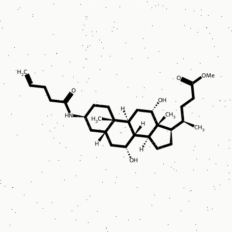 C=CCCC(=O)N[C@H]1CC[C@@]2(C)[C@@H](C1)C[C@@H](O)[C@@H]1[C@@H]2C[C@H](O)[C@]2(C)[C@@H]([C@H](C)CCC(=O)OC)CC[C@@H]12